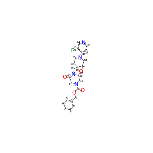 O=C(OCc1ccccc1)N1CC(=O)N2CC3(CCN(c4ccncc4F)CC3)OC2C1